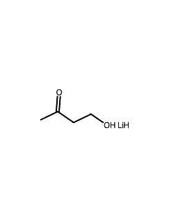 CC(=O)CCO.[LiH]